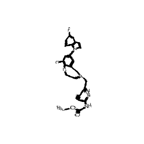 CC(C)(C)OC(=O)Nc1ccc(CN2CCOc3c(Cl)cc(-n4ccc5cc(F)ccc54)cc3C2)nn1